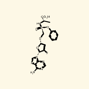 C[C@H](N[P@](=O)(CO[C@@H]1C=C(F)[C@H](n2cnc3c(N)ncnc32)O1)Oc1ccccc1)C(=O)O